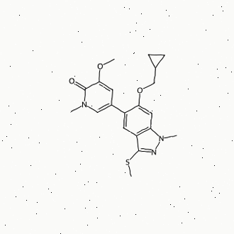 COc1cc(-c2cc3c(SC)nn(C)c3cc2OCC2CC2)cn(C)c1=O